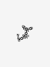 CC1COCCN1c1nc(-c2ccc(NC(=O)Nc3ccc(C(=O)N(C)CCN(C)C)cc3)cc2)nc(C2CCOCC2)n1